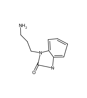 NCCCN1C(=O)[N]c2ccccc21